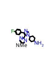 CNc1ccnc(-c2c(-c3ccc(F)cc3)ncn2C2CCC(N)CC2)n1